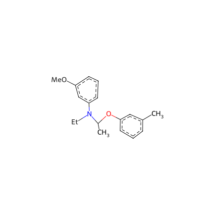 CCN(c1cccc(OC)c1)C(C)Oc1cccc(C)c1